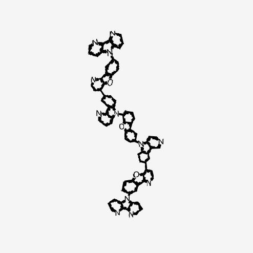 C1=C(c2ccnc3c2oc2ccc(-n4c5cccnc5c5ncccc54)cc23)CCc2c1c1cnccc1n2-c1ccc2oc3c(-n4c5ccc(-c6ccnc7c6oc6ccc(-n8c9cccnc9c9ncccc98)cc67)cc5c5ncccc54)cccc3c2c1